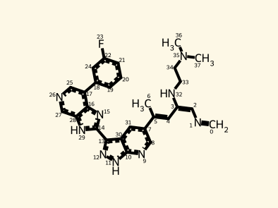 C=N/C=C(\C=C(/C)c1cnc2[nH]nc(-c3nc4c(-c5cccc(F)c5)cncc4[nH]3)c2c1)NCCN(C)C